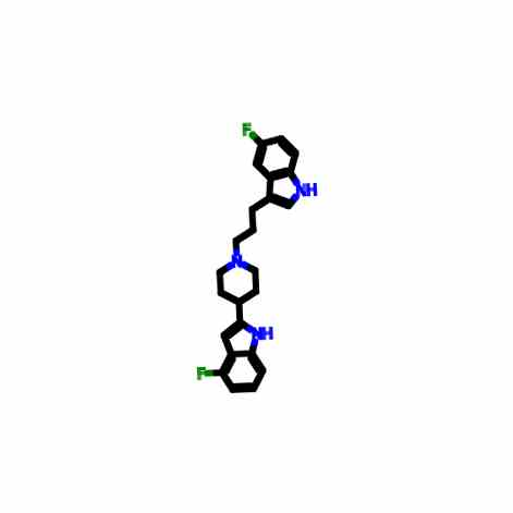 Fc1ccc2[nH]cc(CCCN3CCC(c4cc5c(F)cccc5[nH]4)CC3)c2c1